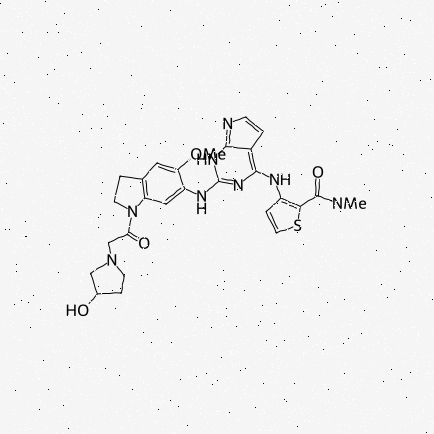 CNC(=O)c1sccc1Nc1nc(Nc2cc3c(cc2OC)CCN3C(=O)CN2CCC(O)C2)[nH]c2nccc1-2